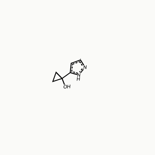 OC1(c2c[c]n[nH]2)CC1